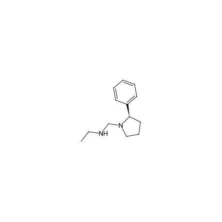 CCNCN1CCC[C@@H]1c1ccccc1